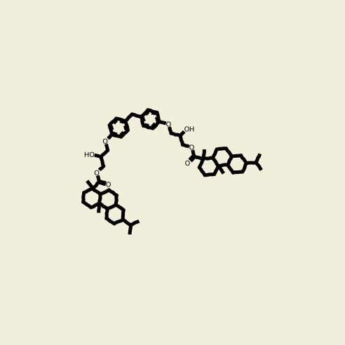 CC(C)C1CCC2C(CCC3C(C)(C(=O)OCC(O)COc4ccc(Cc5ccc(OCC(O)COC(=O)C6(C)CCCC7(C)C8CCC(C(C)C)CC8CCC67)cc5)cc4)CCCC23C)C1